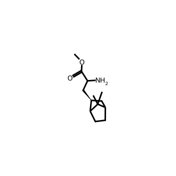 COC(=O)C(N)C[C@H]1CC2CCC1C2(C)C